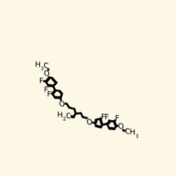 C=CC(CCCOc1ccc(-c2ccc(OCC)c(F)c2F)c(F)c1)CCCOc1ccc(-c2ccc(OCC)c(F)c2F)c(F)c1